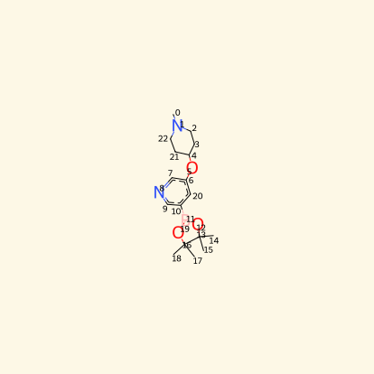 CN1CCC(Oc2cncc(B3OC(C)(C)C(C)(C)O3)c2)CC1